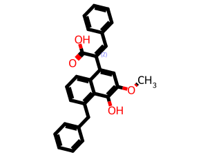 COc1cc(/C(=C/c2ccccc2)C(=O)O)c2cccc(Cc3ccccc3)c2c1O